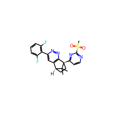 CC1(C)[C@H]2CC[C@@]1(c1ccnc(S(C)(=O)=O)n1)c1nnc(-c3c(F)cccc3F)cc12